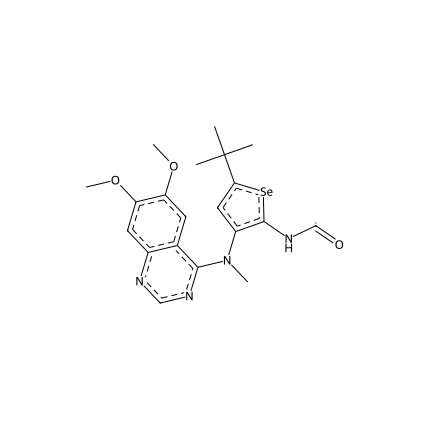 COc1cc2ncnc(N(C)c3cc(C(C)(C)C)[se]c3N[C]=O)c2cc1OC